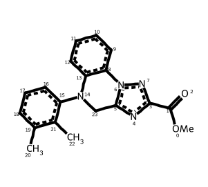 COC(=O)c1nc2n(n1)-c1ccccc1N(c1cccc(C)c1C)C2